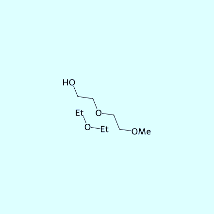 CCOCC.COCCOCCO